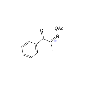 CC(=O)O/N=C(/C)C(=O)c1ccccc1